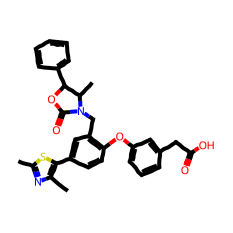 Cc1nc(C)c(-c2ccc(Oc3cccc(CC(=O)O)c3)c(CN3C(=O)OC(c4ccccc4)C3C)c2)s1